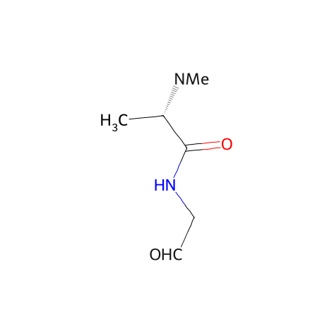 CN[C@@H](C)C(=O)NCC=O